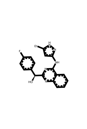 CCc1cc(Nc2nc([C@@H](O)c3ccc(F)cc3)nc3ccccc23)n[nH]1